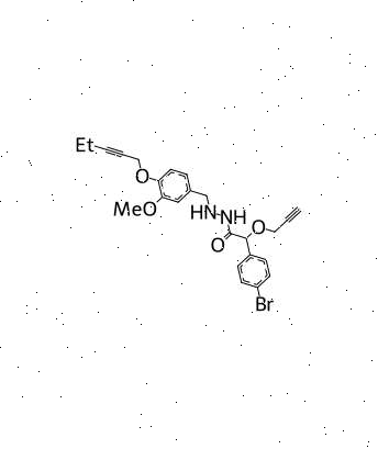 C#CCOC(C(=O)NNCc1ccc(OCC#CCC)c(OC)c1)c1ccc(Br)cc1